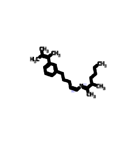 CCCCC(C)/C(C)=N/C=C\CCCc1cccc(C(C)=C(C)C)c1